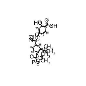 CCN(C(=O)C(F)(F)F)c1ccc(C(COc2ccc(C(=O)O)c(O)c2)=NO)cc1C(C)(C)C